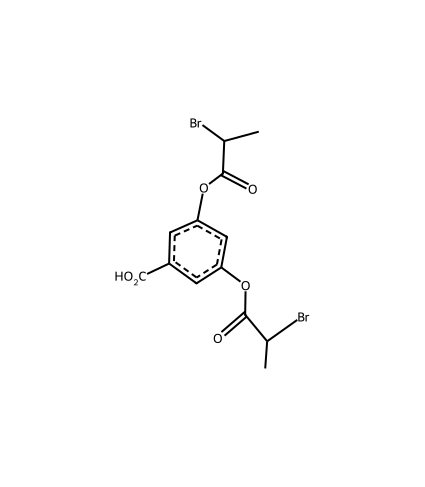 CC(Br)C(=O)Oc1cc(OC(=O)C(C)Br)cc(C(=O)O)c1